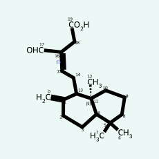 C=C1CCC2C(C)(C)CCC[C@]2(C)C1C/C=C(/C=O)CC(=O)O